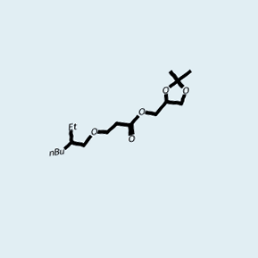 CCCCC(CC)COCCC(=O)OCC1COC(C)(C)O1